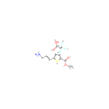 COC(=O)c1ccc(C=CCN)s1.O=C(O)C(F)(F)F